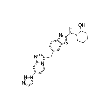 OC1CCCCC1Nc1nc2ccc(Cc3cnc4cc(-n5ccnn5)ccn34)cc2s1